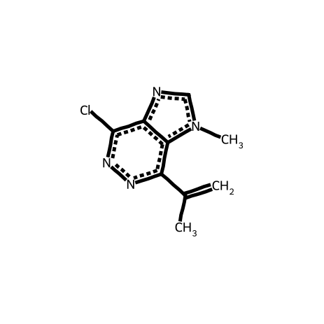 C=C(C)c1nnc(Cl)c2ncn(C)c12